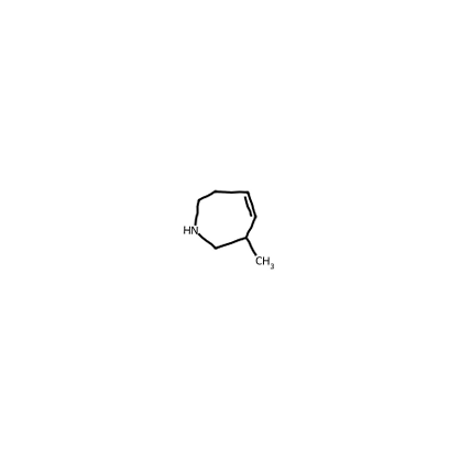 CC1C=CCCNC1